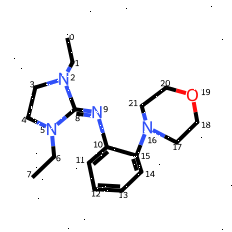 CCN1CCN(CC)C1=Nc1ccccc1N1CCOCC1